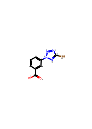 O=C(O)c1cccc(-n2nnc(S)n2)c1